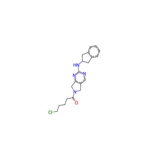 O=C(CCCCCl)N1Cc2cnc(NC3Cc4ccccc4C3)nc2C1